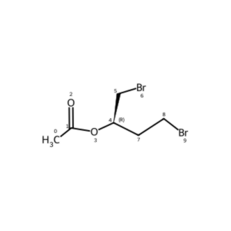 CC(=O)O[C@@H](CBr)CCBr